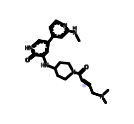 CNc1cc(-c2c[nH]c(=O)c(NC3CCN(C(=O)/C=C/CN(C)C)CC3)c2)ccn1